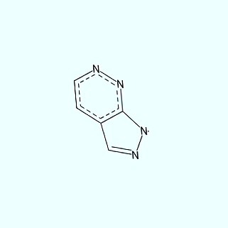 C1=N[N]c2nnccc21